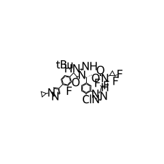 CC(C)(C)C[C@]1(c2ccc(-c3cnn(C4CC4)c3)c(F)c2)NC(=N)N([C@H](COC(=O)N[C@H]2CC2(F)F)c2ccc(Cl)c(-n3ncnc3C(F)F)c2)C1=O